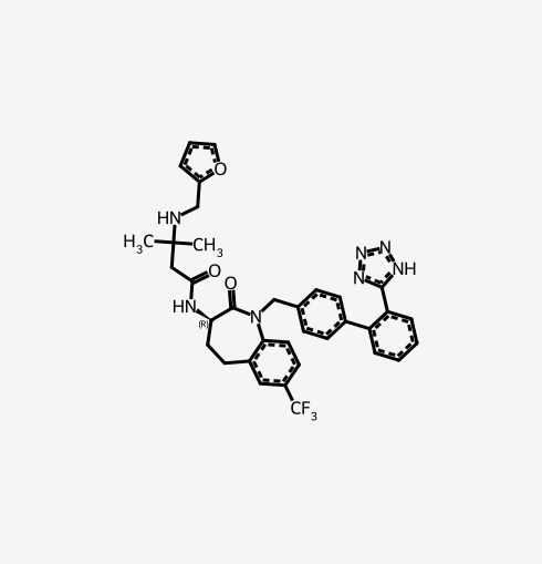 CC(C)(CC(=O)N[C@@H]1CCc2cc(C(F)(F)F)ccc2N(Cc2ccc(-c3ccccc3-c3nnn[nH]3)cc2)C1=O)NCc1ccco1